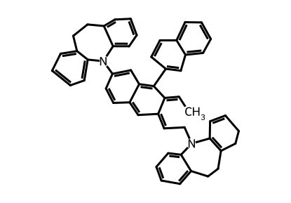 C/C=c1/c(-c2ccc3ccccc3c2)c2cc(N3c4ccccc4CCc4ccccc43)ccc2c/c1=C/CN1C2=C(CCC=C2)CCc2ccccc21